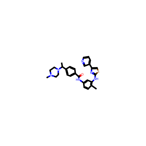 Cc1ccc(NC(=O)c2ccc(C(C)N3CCN(C)CC3)cc2)cc1Nc1nc(-c2cccnc2)cs1